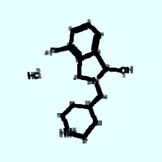 Cl.OC1c2cccc(F)c2CN1CC1CCNCC1